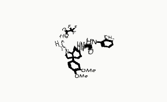 COc1ccc(C23CCC(NC(=O)Nc4ccccc4C)CC2N(C)CC3)cc1OC.O=C(O)C(F)(F)F